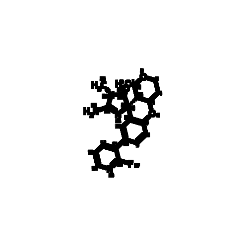 C[C@H]1OCCC2Oc3ccc(-c4cccnc4F)cc3[C@]3(N=C(N)N(C)C3=O)C21